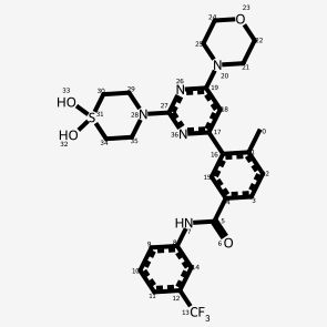 Cc1ccc(C(=O)Nc2cccc(C(F)(F)F)c2)cc1-c1cc(N2CCOCC2)nc(N2CCS(O)(O)CC2)n1